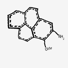 COc1c(N)cc2ccc3cccc4ccc1c2c34